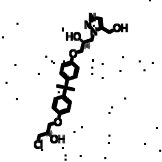 CC(C)(c1ccc(OC[C@H](O)CCl)cc1)c1ccc(OC[C@H](O)Cn2nncc2CO)cc1